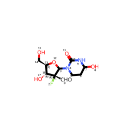 O=C[C@]1(F)C(N2CCC(O)NC2=O)O[C@H](CO)[C@H]1O